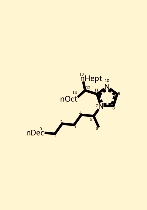 CCCCCCCCCCCCCCC(C)n1ccnc1C(CCCCCCC)CCCCCCCC